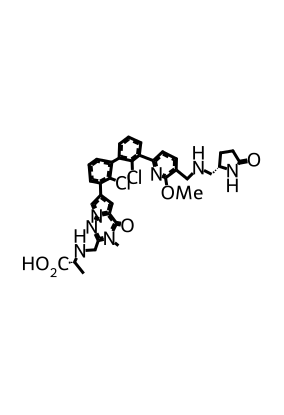 COc1nc(-c2cccc(-c3cccc(-c4cc5c(=O)n(C)c(CN[C@H](C)C(=O)O)nn5c4)c3Cl)c2Cl)ccc1CNC[C@@H]1CCC(=O)N1